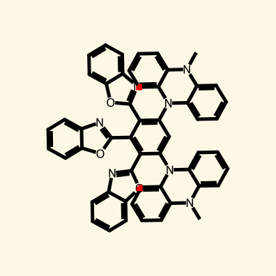 CN1c2ccccc2N(c2cc(N3c4ccccc4N(C)c4ccccc43)c(-c3nc4ccccc4o3)c(-c3nc4ccccc4o3)c2-c2nc3ccccc3o2)c2ccccc21